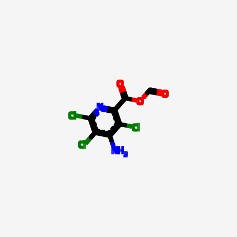 Nc1c(Cl)c(Cl)nc(C(=O)OC=O)c1Cl